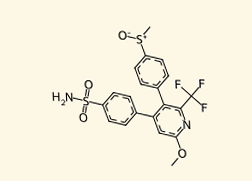 COc1cc(-c2ccc(S(N)(=O)=O)cc2)c(-c2ccc([S+](C)[O-])cc2)c(C(F)(F)F)n1